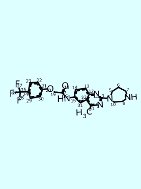 Cc1nc(N2CCCNCC2)nc2ccc(NC(=O)COc3ccc(C(F)(F)F)cc3)cc12